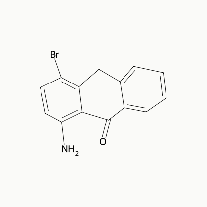 Nc1ccc(Br)c2c1C(=O)c1ccccc1C2